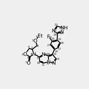 CCOCC1COC(=O)N1c1ccn2ncc(-c3ccc(-c4nc[nH]n4)c(F)c3)c2n1